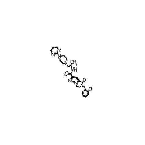 CC(CN1CCN(c2ncccn2)CC1)NC(=O)c1cc2n(n1)CCN(Cc1ccccc1Cl)C2=O